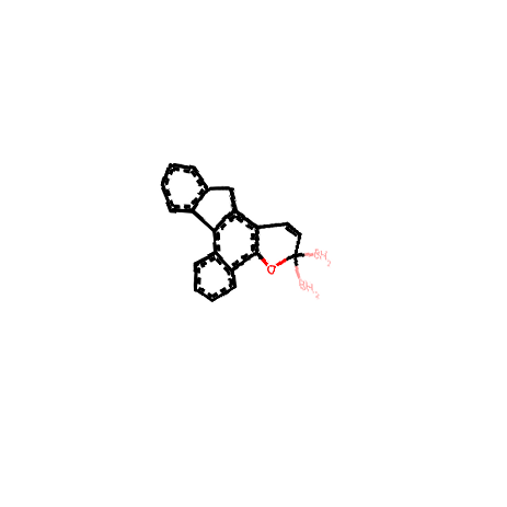 BC1(B)C=Cc2c3c(c4ccccc4c2O1)-c1ccccc1C3